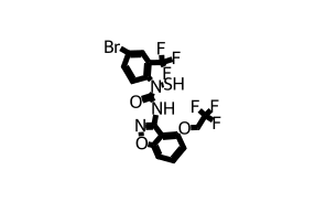 O=C(Nc1noc2cccc(OCC(F)(F)F)c12)N(S)c1ccc(Br)cc1C(F)(F)F